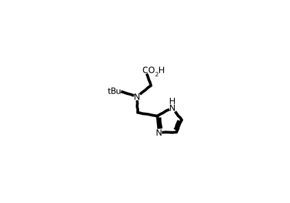 CC(C)(C)N(CC(=O)O)Cc1ncc[nH]1